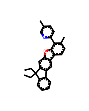 CCC1(CC)c2ccccc2-c2cc3c(cc21)oc1c(-c2ccc(C)cn2)c(C)ccc13